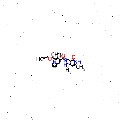 C#CCOC(C)c1c(C)c(C(=O)NCc2c(C)cc(C)[nH]c2=O)cc2cccn12